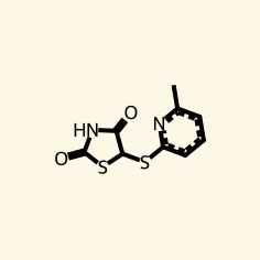 Cc1cccc(SC2SC(=O)NC2=O)n1